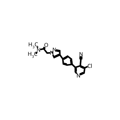 CN(C)C(=O)Cn1cc(-c2ccc(-c3cncc(Cl)c3C#N)cc2)cn1